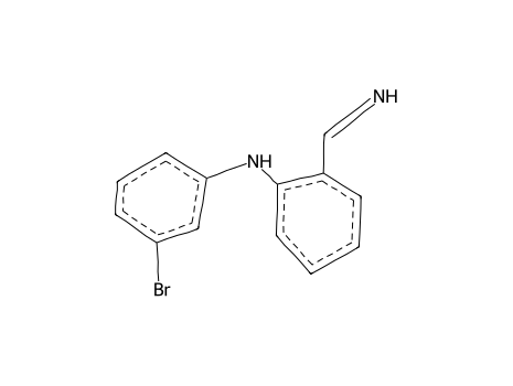 N=Cc1ccccc1Nc1cccc(Br)c1